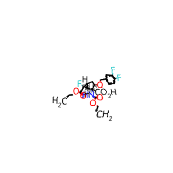 C=CCOC(=O)N[C@@]1(C(=O)O)[C@H](OCc2ccc(F)c(F)c2)C[C@@H]2[C@H]1[C@@]2(F)C(=O)OCC=C